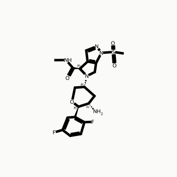 CNC(=O)[C@H]1c2cnn(S(C)(=O)=O)c2CN1[C@H]1CO[C@H](c2cc(F)ccc2F)[C@@H](N)C1